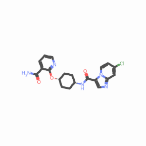 NC(=O)c1cccnc1O[C@H]1CC[C@H](NC(=O)c2cnc3cc(Cl)ccn23)CC1